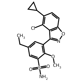 CCc1cc(-c2noc3ccc(C4CC4)c(Cl)c23)c(OC)c(S(N)(=O)=O)c1